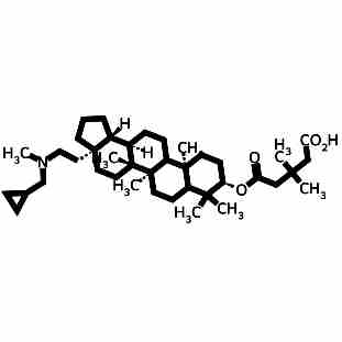 CN(CC[C@]12CCC[C@@H]1[C@H]1CCC3[C@@]4(C)CC[C@H](OC(=O)CC(C)(C)CC(=O)O)C(C)(C)C4CC[C@@]3(C)[C@]1(C)CC2)CC1CC1